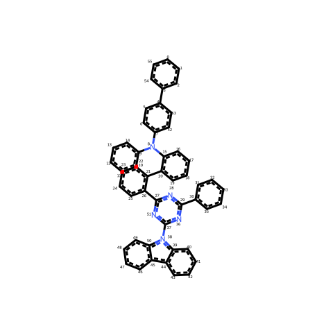 c1ccc(-c2ccc(N(c3ccccc3)c3ccccc3-c3ccccc3-c3nc(-c4ccccc4)nc(-n4c5ccccc5c5ccccc54)n3)cc2)cc1